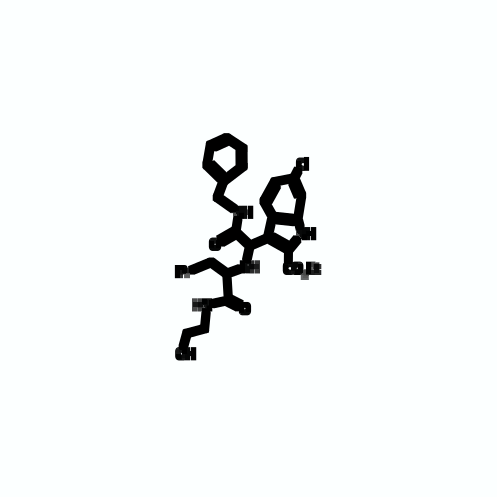 CCOC(=O)c1[nH]c2cc(Cl)ccc2c1C(NC(CC(C)C)C(=O)NCCO)C(=O)NCc1ccccc1